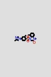 Cc1cn(-c2ccc(S(=O)(=O)N3CC(=O)N(C)c4cccc(C)c43)c(C)c2)cn1